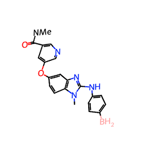 Bc1ccc(Nc2nc3cc(Oc4cncc(C(=O)NC)c4)ccc3n2C)cc1